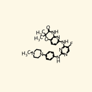 CN1CCN(c2ccc(Nc3ncc(F)c(Nc4ccc5c(n4)NC(=O)C(C)(C)O5)n3)cc2)CC1